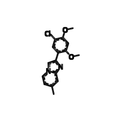 COc1cc(OC)c(-c2cn3ccc(C)cc3n2)cc1Cl